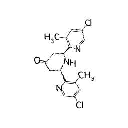 Cc1cc(Cl)cnc1[C@@H]1CC(=O)C[C@H](c2ncc(Cl)cc2C)N1